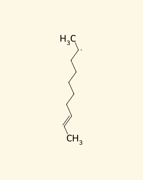 C[CH]CCCCC/C=C/C